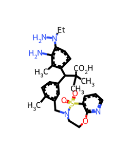 CCN(N)c1ccc(C(c2ccc(C)c(CN3CCOc4ncccc4S3(=O)=O)c2)C(C)(C)C(=O)O)c(C)c1N